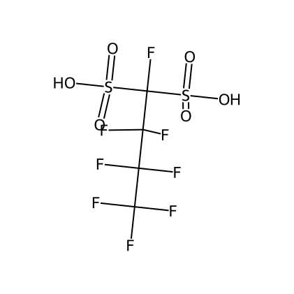 O=S(=O)(O)C(F)(C(F)(F)C(F)(F)C(F)(F)F)S(=O)(=O)O